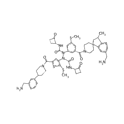 CSc1cc(C(=O)N2CCC3(CC2)CC(C)c2ccc(CN)cc23)cc(N(C(=O)NC2CCC2=O)N(C(=O)NC2CCC2=O)c2cc(C(=O)N3CCC(c4cccc(CN)c4)CC3)sc2SC)c1